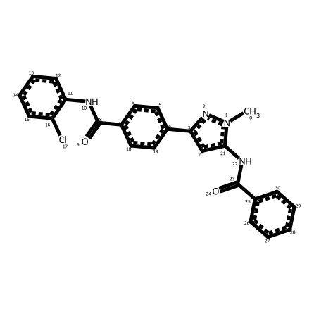 Cn1nc(-c2ccc(C(=O)Nc3ccccc3Cl)cc2)cc1NC(=O)c1ccccc1